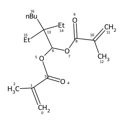 C=C(C)C(=O)OC(OC(=O)C(=C)C)C(CC)(CC)CCCC